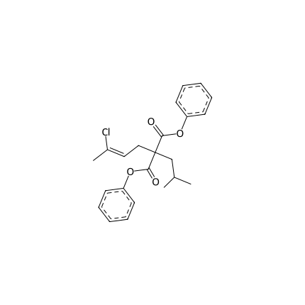 CC(Cl)=CCC(CC(C)C)(C(=O)Oc1ccccc1)C(=O)Oc1ccccc1